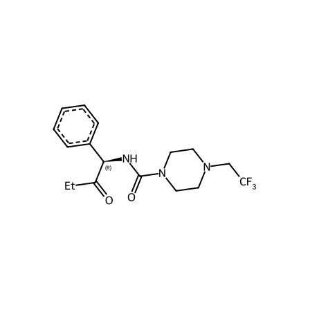 CCC(=O)[C@H](NC(=O)N1CCN(CC(F)(F)F)CC1)c1ccccc1